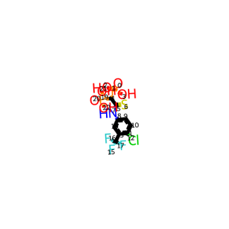 O=P(O)(O)C(C(=S)Nc1ccc(Cl)c(C(F)(F)F)c1)P(=O)(O)O